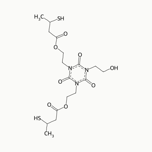 CC(S)CC(=O)OCCn1c(=O)n(CCO)c(=O)n(CCOC(=O)CC(C)S)c1=O